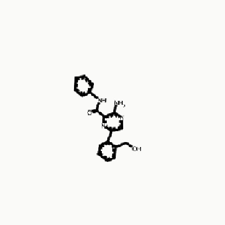 Nc1ncc(-c2ccccc2CO)nc1C(=O)Nc1ccccc1